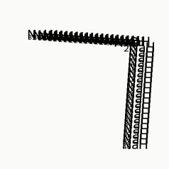 O.[NaH].[NaH].[NaH].[NaH].[NaH].[NaH].[NaH].[NaH].[NaH].[NaH].[NaH].[NaH].[NaH].[NaH].[NaH].[NaH].[NaH].[NaH].[NaH].[NaH].[NaH].[NaH].[NaH].[NaH].[NaH].[NaH].[NaH].[NaH].[NaH].[NaH].[NaH].[NaH].[NaH].[NaH].[NaH].[NaH].[NaH].[NaH].[NaH].[NaH]